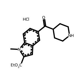 CCOC(=O)c1cc2cc(C(=O)C3CCNCC3)ccc2n1C.Cl